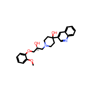 COc1ccccc1OC[C@@H](O)CN1CCC(O)(c2cnc3ccccc3c2)CC1